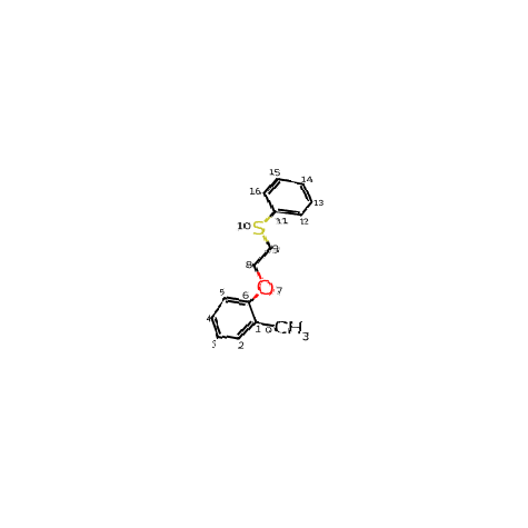 Cc1ccccc1OCCSc1ccccc1